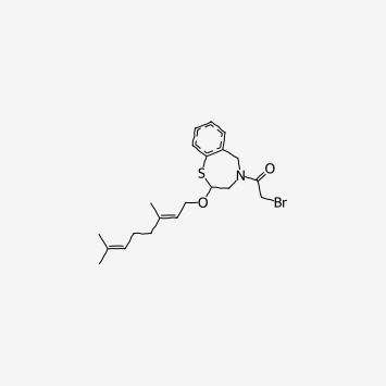 CC(C)=CCC/C(C)=C/COC1CN(C(=O)CBr)Cc2ccccc2S1